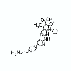 CC(=O)c1c(C)c2cnc(Nc3ccc(N4CCN(CCCN)CC4)cn3)nc2n(C2CCCC2)c1=O